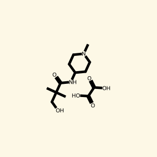 CN1CCC(NC(=O)C(C)(C)CO)CC1.O=C(O)C(=O)O